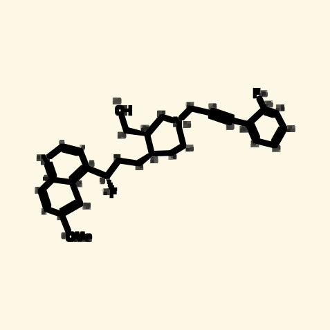 COc1ccc2nccc([C@@H](F)CC[C@@H]3CCN(CC#Cc4ccccc4F)C[C@@H]3CO)c2c1